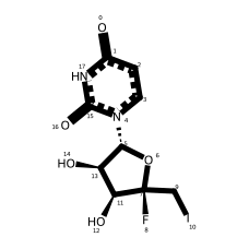 O=c1ccn([C@@H]2O[C@](F)(CI)[C@@H](O)[C@H]2O)c(=O)[nH]1